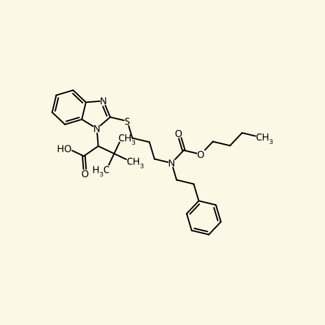 CCCCOC(=O)N(CCCSc1nc2ccccc2n1C(C(=O)O)C(C)(C)C)CCc1ccccc1